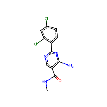 CNC(=O)c1cnc(-c2ccc(Cl)cc2Cl)nc1N